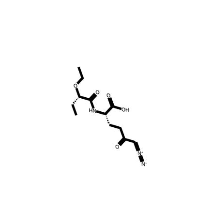 CCO[C@@H](CC)C(=O)N[C@@H](CCC(=O)C=[N+]=[N-])C(=O)O